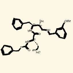 COc1cccc(CNC[C@@H](O)[C@H](Cc2ccccc2)NC(=O)[C@H](CC(C)C)NC(=O)OCc2ccccc2)c1.Cl